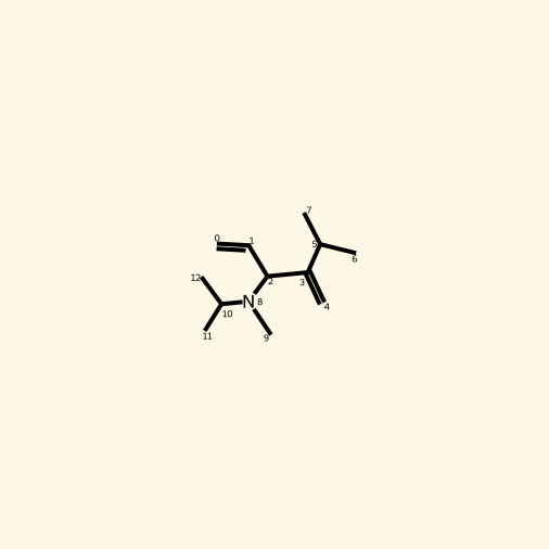 C=CC(C(=C)C(C)C)N(C)C(C)C